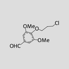 COc1cc(C=O)cc(OC)c1OCCCCl